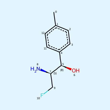 Cc1ccc([C@@H](O)[C@H](N)CF)cc1